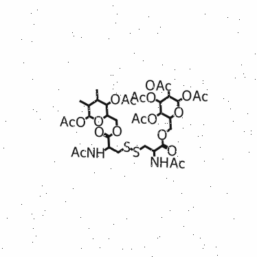 CC(=O)NC(CSSCC(NC(C)=O)C(=O)OCC1OC(OC(C)=O)C(OC(C)=O)C(OC(C)=O)C1OC(C)=O)C(=O)OCC1OC(OC(C)=O)C(C)C(C)C1OC(C)=O